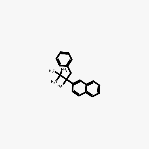 CC(N)(N)C(C)(Cc1ccccc1)c1ccc2ccccc2c1